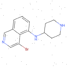 Brc1cncc2cccc(NC3CCNCC3)c12